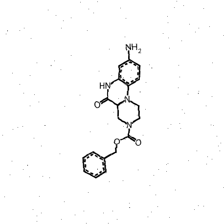 Nc1ccc2c(c1)NC(=O)C1CN(C(=O)OCc3ccccc3)CCN21